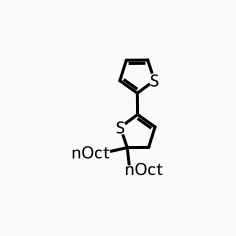 CCCCCCCCC1(CCCCCCCC)CC=C(c2cccs2)S1